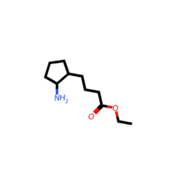 CCOC(=O)CCCC1CCCC1N